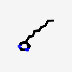 CCCC/C=C/C=C/c1cncnc1